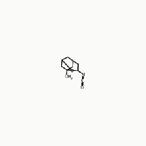 CC12CC3CC(C1)CC(N=C=O)(C3)O2